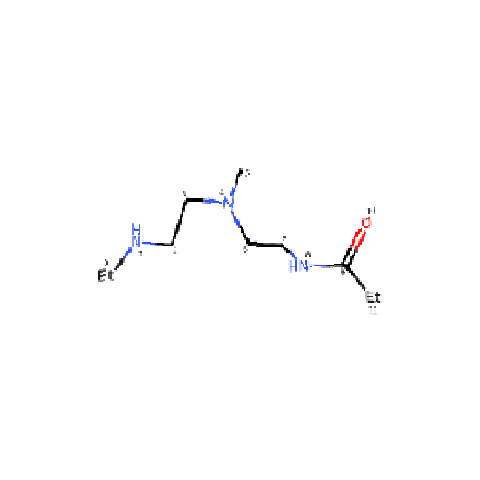 CCNCCN(C)CCNC(=O)CC